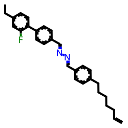 C=CCCCCCc1ccc(C=NN=Cc2ccc(-c3ccc(CC)cc3F)cc2)cc1